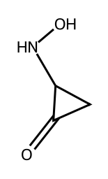 O=C1CC1NO